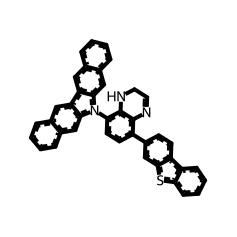 C1=Nc2c(-c3ccc4c(c3)sc3ccccc34)ccc(-n3c4cc5ccccc5cc4c4cc5ccccc5cc43)c2NC1